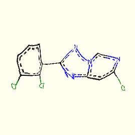 Clc1cc2nc(-c3cccc(Cl)c3Cl)nn2cn1